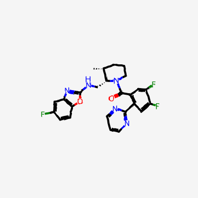 C[C@@H]1CCCN(C(=O)c2cc(F)c(F)cc2-c2ncccn2)[C@@H]1CNc1nc2cc(F)ccc2o1